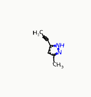 CC#Cc1cc(C)n[nH]1